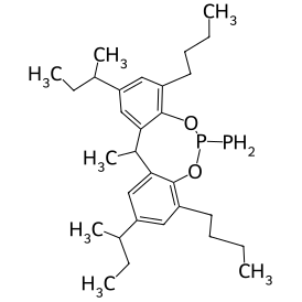 CCCCc1cc(C(C)CC)cc2c1OP(P)Oc1c(CCCC)cc(C(C)CC)cc1C2C